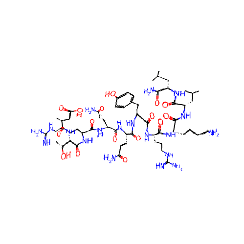 CC(C)C[C@H](NC(=O)[C@H](CC(C)C)NC(=O)[C@H](CCCCN)NC(=O)[C@H](CCCNC(=N)N)NC(=O)[C@H](Cc1ccc(O)cc1)NC(=O)[C@H](CCC(N)=O)NC(=O)[C@H](CCC(N)=O)NC(=O)[C@H](CCCCNC(=N)N)NC(=O)[C@@H](NC(=O)[C@@H](C)CC(=O)O)[C@@H](C)O)C(N)=O